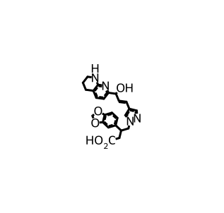 O=C(O)CC(Cn1cc(/C=C/C(O)c2ccc3c(n2)NCCC3)cn1)c1ccc2c(c1)OCO2